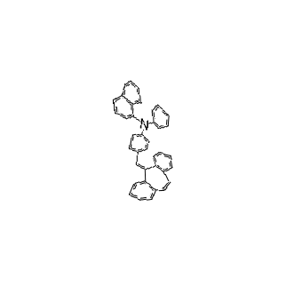 C1=Cc2ccccc2C(=Cc2ccc(N(c3ccccc3)c3cccc4ccccc34)cc2)c2ccccc21